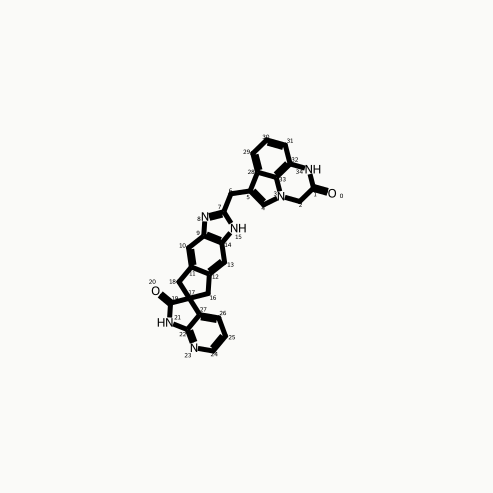 O=C1Cn2cc(Cc3nc4cc5c(cc4[nH]3)CC3(C5)C(=O)Nc4ncccc43)c3cccc(c32)N1